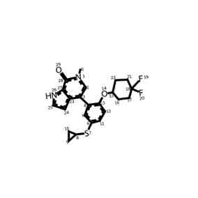 Cn1cc(-c2cc(SC3CC3)ccc2OC2CCC(F)(F)CC2)c2cc[nH]c2c1=O